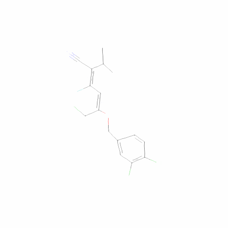 CC(C)/C(C#N)=C(F)\C=C(/CCl)OCc1ccc(Cl)c(Cl)c1